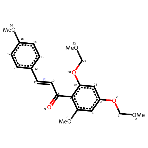 COCOc1cc(OC)c(C(=O)/C=C/c2ccc(OC)cc2)c(OCOC)c1